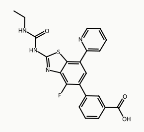 CCNC(=O)Nc1nc2c(F)c(-c3cccc(C(=O)O)c3)cc(-c3ccccn3)c2s1